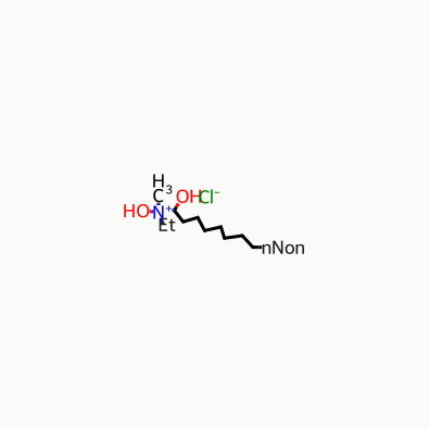 CCCCCCCCCCCCCCCCC(O)[N+](C)(O)CC.[Cl-]